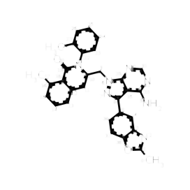 Cc1nc2cc(-c3nn(Cc4cc5cccc(C)c5c(=O)n4-c4ccccc4C)c4ncnc(N)c34)ccc2o1